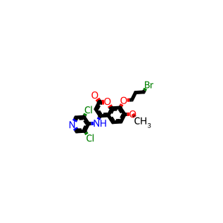 COc1ccc2c(Nc3c(Cl)cncc3Cl)cc(=O)oc2c1OCCCBr